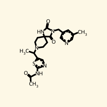 CC(=O)Nc1ncc(C(C)N2CCC3(CC2)NC(=O)N(Cc2cncc(C)c2)C3=O)s1